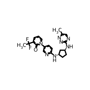 Cc1cnc(N[C@H]2CC[C@H](Nc3ccc(-n4cccc(C(C)(F)F)c4=O)cn3)C2)nn1